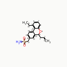 C=CCC1Oc2cccc(CC)c2-c2ccc(CS(N)(=O)=O)cc21